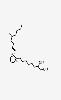 CCCCC(C)CCC=C[C@H]1C=CC[C@@H]1CCCCCCC(O)CO